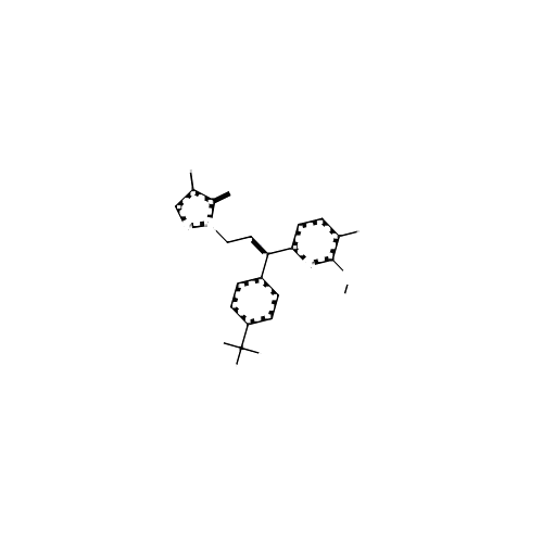 COc1nc(/C(=C/Cn2[nH]cc(C)c2=O)c2ccc(C(C)(C)C)cc2)ccc1Cl